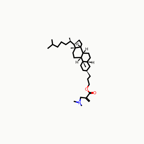 C=C(CN(C)C)C(=O)OCCC[C@H]1CC[C@@]2(C)[C@H](CC[C@H]3[C@H]4CC[C@H]([C@H](C)CCCC(C)C)[C@@]4(C)CC[C@H]32)C1